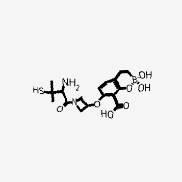 CC(C)(S)C(N)C(=O)N1CC(Oc2ccc3c(c2C(=O)O)O[B-](O)(O)CC3)C1